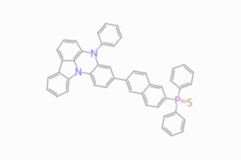 S=P(c1ccccc1)(c1ccccc1)c1ccc2cc(-c3ccc4c(c3)N(c3ccccc3)c3cccc5c6ccccc6n-4c35)ccc2c1